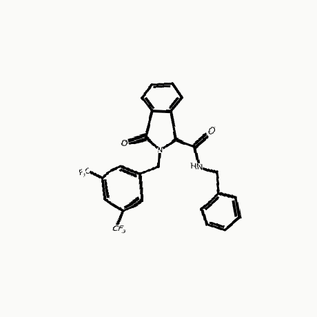 O=C(NCc1ccccc1)C1c2ccccc2C(=O)N1Cc1cc(C(F)(F)F)cc(C(F)(F)F)c1